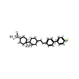 CCC[C@]1(C2CCC(CCc3ccc(-c4ccc(F)cc4)cc3)CC2)CC[C@H]([SiH2]C)CC1